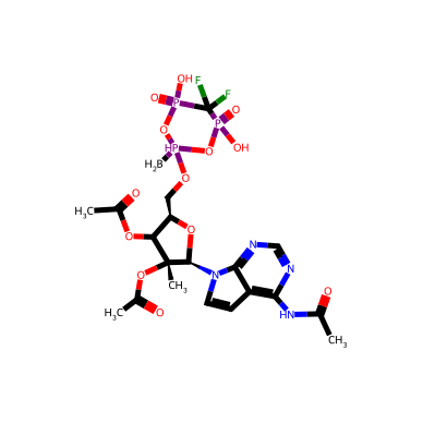 B[PH]1(OC[C@H]2O[C@@H](n3ccc4c(NC(C)=O)ncnc43)[C@](C)(OC(C)=O)C2OC(C)=O)OP(=O)(O)C(F)(F)P(=O)(O)O1